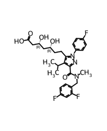 CC(C)c1c(C(=O)N(C)Cc2ccc(F)cc2F)nn(-c2ccc(F)cc2)c1CC[C@@H](O)C[C@@H](O)CC(=O)O